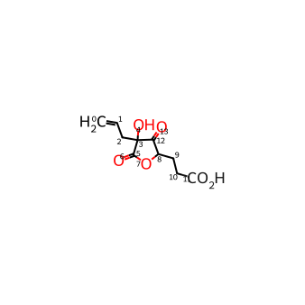 C=CCC1(O)C(=O)OC(CCC(=O)O)C1=O